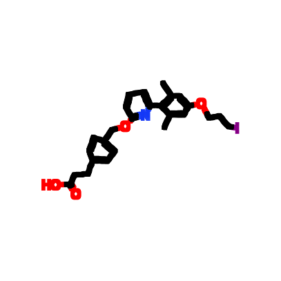 Cc1cc(OCCCI)cc(C)c1-c1cccc(OCc2ccc(CCC(=O)O)cc2)n1